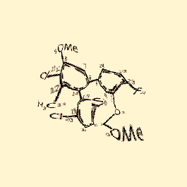 COCOc1cc(-c2cc(OC)c(Cl)c(C)c2-c2sccc2Cl)ccc1F